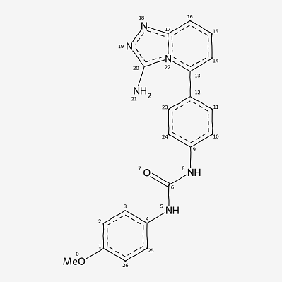 COc1ccc(NC(=O)Nc2ccc(-c3cccc4nnc(N)n34)cc2)cc1